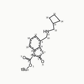 CC(C)(C)OC(=O)n1c(=O)sc2c(CNCC3CCC3)cccc21